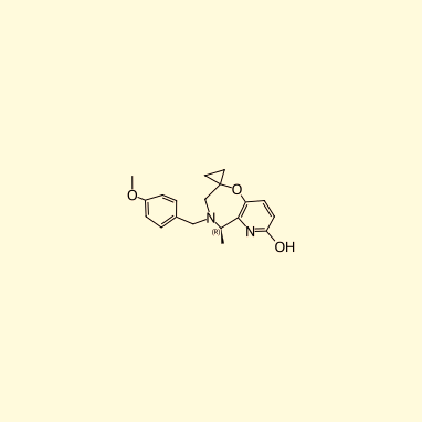 COc1ccc(CN2CC3(CC3)Oc3ccc(O)nc3[C@H]2C)cc1